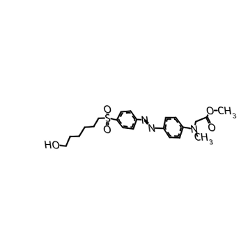 COC(=O)CN(C)c1ccc(N=Nc2ccc(S(=O)(=O)CCCCCCO)cc2)cc1